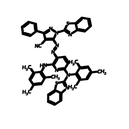 Cc1cc(C)c(Nc2nc(N(c3nc4ccccc4s3)c3c(C)cc(C)cc3C)ccc2N=Nc2c(C#N)c(-c3ccccc3)nn2-c2nc3ccccc3s2)c(C)c1